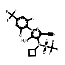 N#Cc1nn(-c2c(Cl)cc(C(F)(F)F)cc2Cl)c(N)c1N(C1CCC1)S(=O)(=O)C(F)(F)F